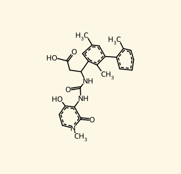 Cc1cc(-c2ccccc2C)c(C)c(C(CC(=O)O)NC(=O)Nc2c(O)ccn(C)c2=O)c1